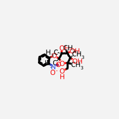 CC1(CO)O[C@@](C)(Oc2ccccc2[N+](=O)[O-])[C@@](C)(O)C(C)(O)[C@@]1(C)O